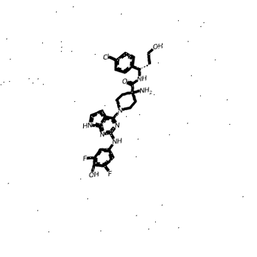 NC1(C(=O)N[C@@H](CCO)c2ccc(Cl)cc2)CCN(c2nc(Nc3cc(F)c(O)c(F)c3)nc3[nH]ccc23)CC1